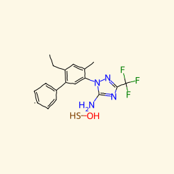 CCc1cc(C)c(-n2nc(C(F)(F)F)nc2N)cc1-c1cc[c]cc1.OS